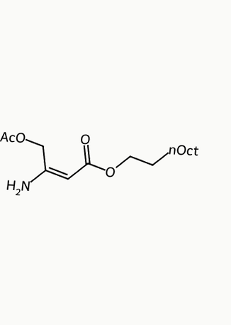 CCCCCCCCCCOC(=O)/C=C(/N)COC(C)=O